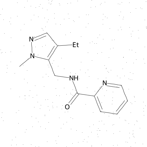 CCc1cnn(C)c1CNC(=O)c1ccccn1